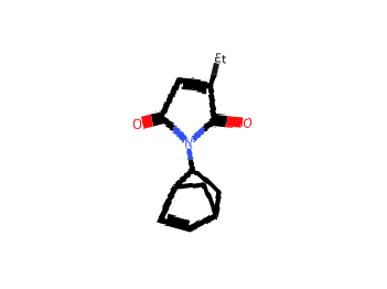 CCC1=CC(=O)N(C2CC3C=CC2C3)C1=O